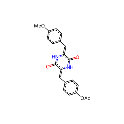 COc1ccc(/C=c2\[nH]c(=O)/c(=C/c3ccc(OC(C)=O)cc3)[nH]c2=O)cc1